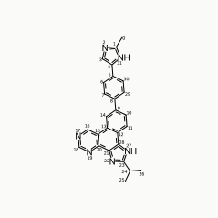 Cc1ncc(-c2ccc(-c3ccc4c(c3)c3cncnc3c3nc(C(C)C)[nH]c43)cc2)[nH]1